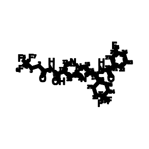 O=C(CCC(F)(F)F)N[C@H](O)c1cnn2cc([C@@H](NC(=O)c3cccc(F)c3)C3CCC(F)(F)CC3)nc2c1